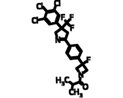 CC(C)C(=O)N1CC(F)(c2ccc(C3=NCC(c4cc(Cl)c(Cl)c(Cl)c4)(C(F)(F)F)C3)cc2)C1